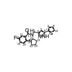 O=C(NCc1cc(-c2cccs2)[nH]n1)c1cc(F)ccc1N1CCCC1